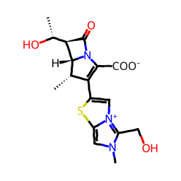 C[C@@H](O)[C@H]1C(=O)N2C(C(=O)[O-])=C(c3c[n+]4c(CO)n(C)cc4s3)[C@H](C)[C@H]12